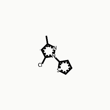 Cc1[c]c(Cl)n(-c2cccs2)n1